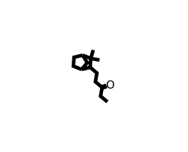 CCC(=O)CCC1C2CCC(C2)C1(C)C